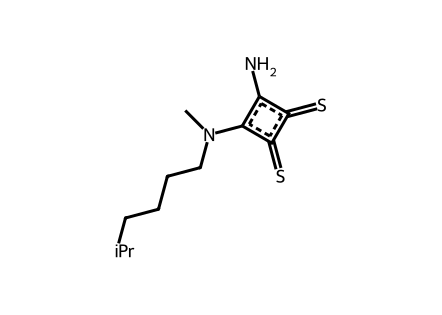 CC(C)CCCCN(C)c1c(N)c(=S)c1=S